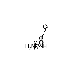 NC(=O)C(=O)c1c[nH]c2ccc(OCCCCCc3ccccc3)cc12